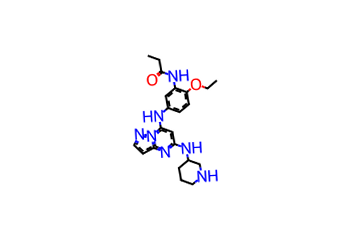 CCOc1ccc(Nc2cc(NC3CCCNC3)nc3ccnn23)cc1NC(=O)CC